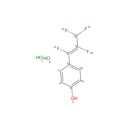 Cl.Cl.Oc1ccc(C(F)=C(F)C(F)F)cc1